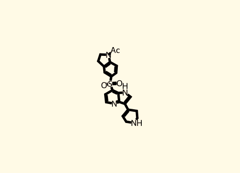 CC(=O)N1CCc2cc(S(=O)(=O)c3ccnc4c(C5=CCNCC5)c[nH]c34)ccc21